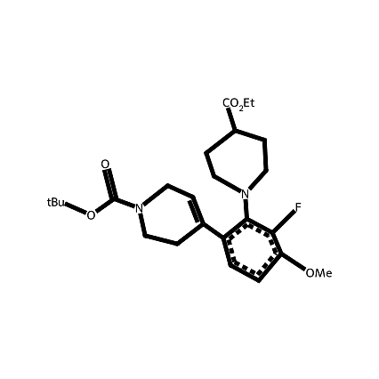 CCOC(=O)C1CCN(c2c(C3=CCN(C(=O)OC(C)(C)C)CC3)ccc(OC)c2F)CC1